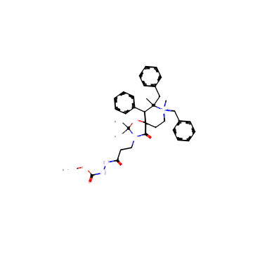 CCCCCCOC(=O)NNC(=O)CCN1C(=O)C2(CC[N+](C)(Cc3ccccc3)C(C)(Cc3ccccc3)C2c2ccccc2)OC1(CCC)CCC